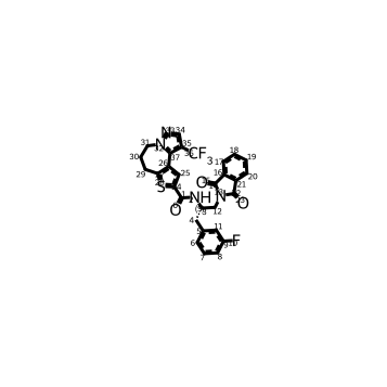 O=C(N[C@@H](Cc1cccc(F)c1)CN1C(=O)c2ccccc2C1=O)c1cc2c(s1)CCCn1ncc(C(F)(F)F)c1-2